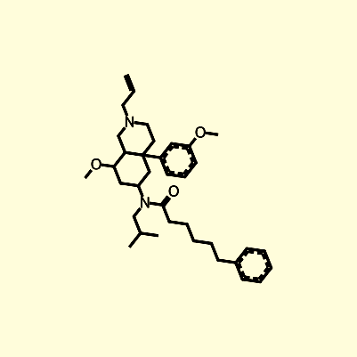 C=CCN1CCC2(c3cccc(OC)c3)CC(N(CC(C)C)C(=O)CCCCCc3ccccc3)CC(OC)C2C1